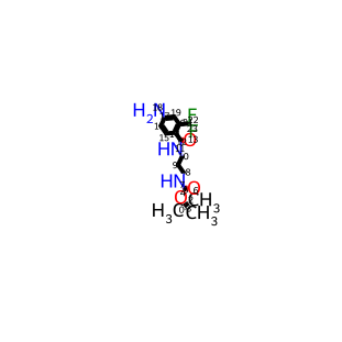 CC(C)(C)OC(=O)NCCCNC(=O)c1ccc(N)cc1C(F)F